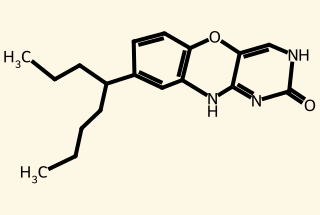 CCCCC(CCC)c1ccc2c(c1)Nc1nc(=O)[nH]cc1O2